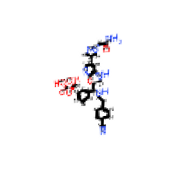 N#Cc1ccc(CCN[C@H](c2ccccc2)[C@@H]2CNc3cc(-c4cnn(CC(N)=O)c4)cnc3O2)cc1.O=CO.O=CO